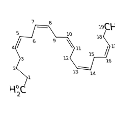 [CH2]CCC/C=C\C/C=C\C/C=C\C/C=C\C/C=C\CC